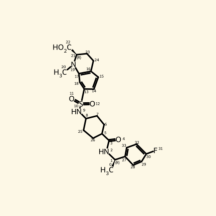 C[C@@H](NC(=O)C1CCC(NS(=O)(=O)c2ccc3c(c2)N(C)[C@@H](C(=O)O)CC3)CC1)c1ccc(F)cc1